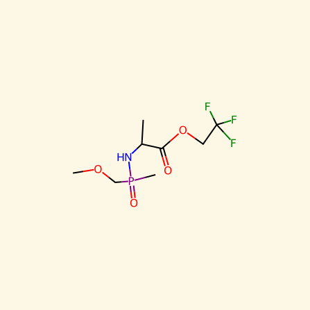 COCP(C)(=O)NC(C)C(=O)OCC(F)(F)F